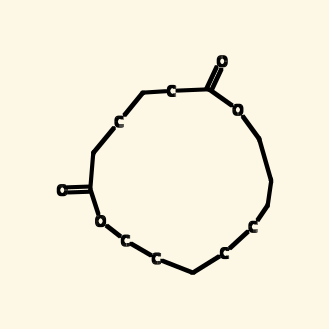 O=C1CCCCC(=O)OCCCCCCCCO1